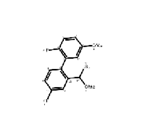 COc1ccc(F)c(-c2ccc(Cl)cc2C(OC)C(C)(C)C)c1